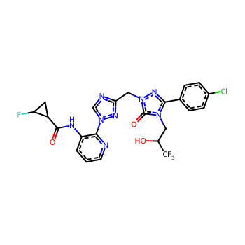 O=C(Nc1cccnc1-n1cnc(Cn2nc(-c3ccc(Cl)cc3)n(CC(O)C(F)(F)F)c2=O)n1)C1CC1F